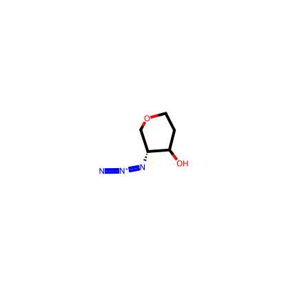 [N-]=[N+]=N[C@@H]1COCCC1O